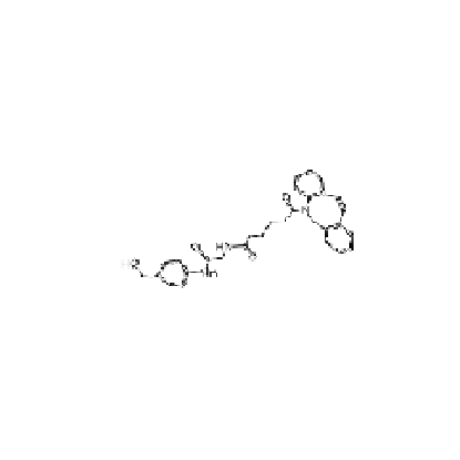 O=C(CCCCC(=O)N1Cc2ccccc2C#Cc2ccccc21)NCC(=O)Nc1ccc(CO)cc1